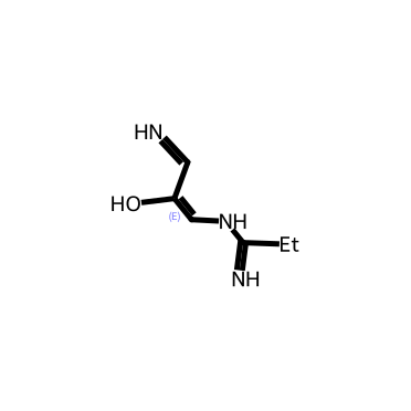 CCC(=N)N/C=C(/O)C=N